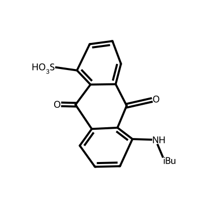 CCC(C)Nc1cccc2c1C(=O)c1cccc(S(=O)(=O)O)c1C2=O